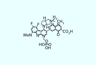 CNc1cc(F)c(F)c2c3c(N4CC[C@@H]5CN(C)C[C@@H]54)c(-c4cnc5c(c4)c(=O)c(C(=O)O)cn5C)cn(COP(=O)(O)O)c-3nc12